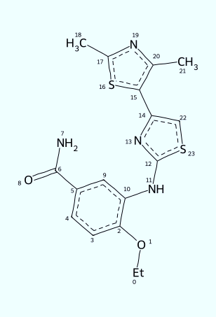 CCOc1ccc(C(N)=O)cc1Nc1nc(-c2sc(C)nc2C)cs1